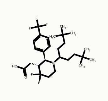 CC(C)(C)CCC(CCC(C)(C)C)N1CCC(F)(F)[C@H](CC(=O)O)[C@H]1c1ccc(C(F)(F)F)cc1